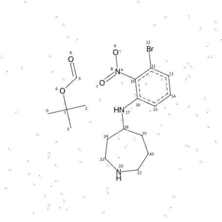 CC(C)(C)OC=O.O=[N+]([O-])c1c(Br)cccc1NC1CCCNCC1